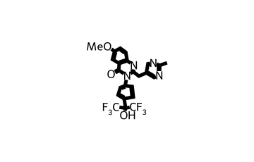 COc1ccc2nc(Cc3cnc(C)nc3)n(-c3ccc(C(O)(C(F)(F)F)C(F)(F)F)cc3)c(=O)c2c1